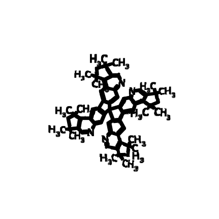 CC1(C)CC(C)(C)c2c1cnc1cc3c(cc21)-c1cc2c4c(cnc2cc1C31c2cc3ncc5c(c3cc2-c2cc3c6c(cnc3cc21)C(C)(C)CC6(C)C)C(C)(C)CC5(C)C)C(C)(C)CC4(C)C